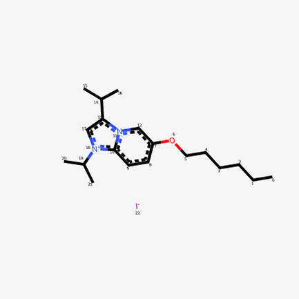 CCCCCCOc1ccc2n(c1)c(C(C)C)c[n+]2C(C)C.[I-]